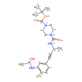 CC(O)Nc1cc(C#CC(C)NC(=O)N2CCN(C(=O)OC(C)(C)C)CC2)ccc1Cl